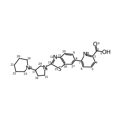 O=C(O)c1cccc(-c2ccc3nc(N4CCC(N5CCCCC5)C4)sc3c2)n1